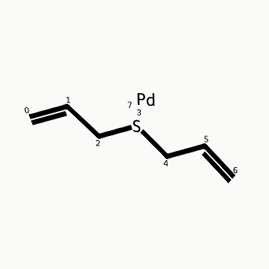 C=CCSCC=C.[Pd]